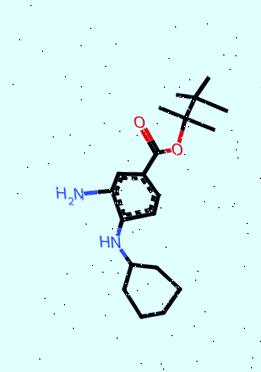 CC(C)(C)C(C)(C)OC(=O)c1ccc(NC2CCCCC2)c(N)c1